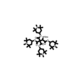 CCCCCCC(C(=O)OC1CC(C)(C)N(C)C(C)(C)C1)C(C(=O)OC1CC(C)(C)N(C)C(C)(C)C1)(C(=O)OC1CC(C)(C)N(C)C(C)(C)C1)C(=O)OC1CC(C)(C)N(C)C(C)(C)C1